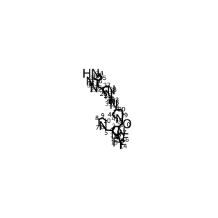 O=C(c1cc(CN2CCCC2)nc(C(F)(F)F)n1)N1CCC(N2C[C](n3cc(-c4ncnc5[nH]ccc45)cn3)C2)CC1